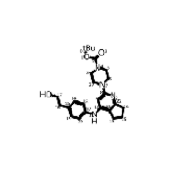 CC(C)(C)OC(=O)N1CCN(c2cc(Nc3ccc(CCO)cc3)c3c(n2)CCC3)CC1